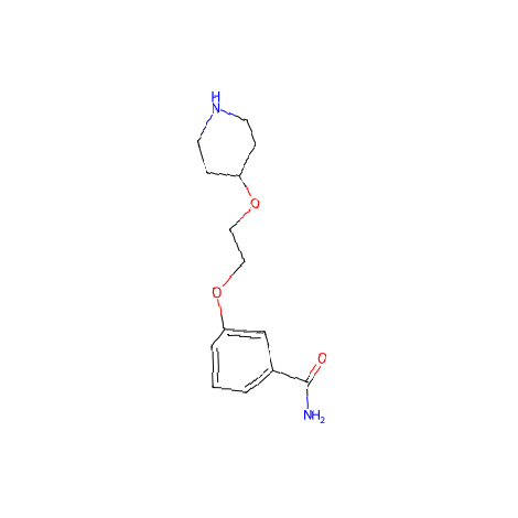 NC(=O)c1cccc(OCCOC2CCNCC2)c1